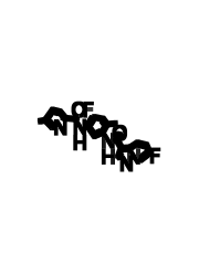 Cc1ccc(C(=O)Nc2cc(NC(=O)c3cnn4cc(F)ccc34)c(C)cc2F)nc1